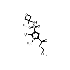 CCOC(=O)c1cc(S(=O)(=O)NC2(C)COC2)c(C)n1C